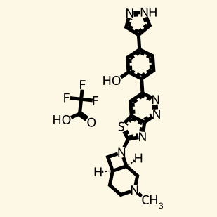 CN1CC[C@H]2CN(c3nc4nnc(-c5ccc(-c6cn[nH]c6)cc5O)cc4s3)[C@H]2C1.O=C(O)C(F)(F)F